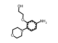 Nc1ccc(N2CCOCC2)c(OCCO)c1